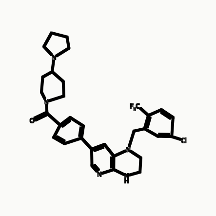 O=C(c1ccc(-c2cnc3c(c2)N(Cc2cc(Cl)ccc2C(F)(F)F)CCN3)cc1)N1CCC(N2CCCC2)CC1